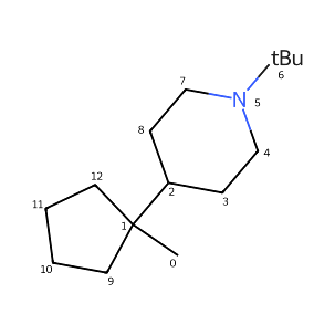 CC1(C2CCN(C(C)(C)C)CC2)CCCC1